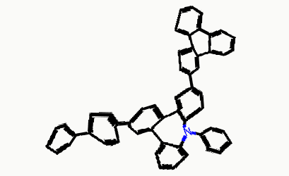 c1ccc(-c2ccc(-c3ccc4c(c3)-c3ccccc3N(c3ccccc3)c3ccc(-c5ccc6c7ccccc7c7ccccc7c6c5)cc3-4)cc2)cc1